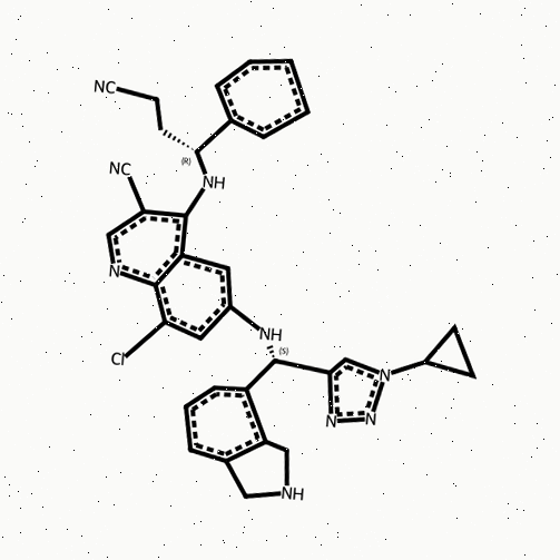 N#CCC[C@@H](Nc1c(C#N)cnc2c(Cl)cc(N[C@H](c3cn(C4CC4)nn3)c3cccc4c3CNC4)cc12)c1ccccc1